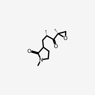 C[C@@H](CC1CCN(C)C1=O)C(=O)[C@@]1(C)CO1